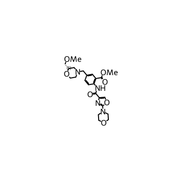 COC[C@@H]1CN(Cc2ccc(NC(=O)c3coc(N4CCOCC4)n3)c(C(=O)OC)c2)CCO1